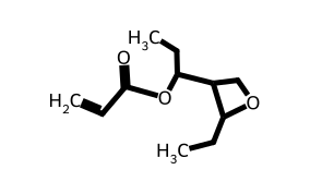 C=CC(=O)OC(CC)C1COC1CC